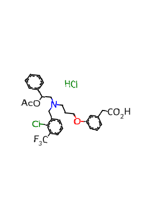 CC(=O)OC(CN(CCCOc1cccc(CC(=O)O)c1)Cc1cccc(C(F)(F)F)c1Cl)c1ccccc1.Cl